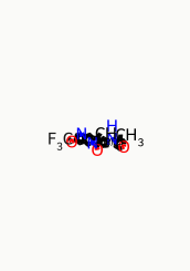 CC1COCCC1N[C@@H]1CC[C@@]2(C1)C(=O)N1Cc3cc(OC(F)(F)F)cnc3CC1C2C